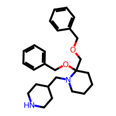 c1ccc(COCC2(OCc3ccccc3)CCCCN2CC2CCNCC2)cc1